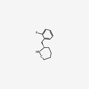 Fc1ccccc1C[C@H]1CCCCCN1